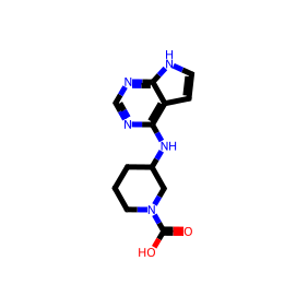 O=C(O)N1CCCC(Nc2ncnc3[nH]ccc23)C1